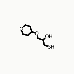 OC(CS)COC1CCOCC1